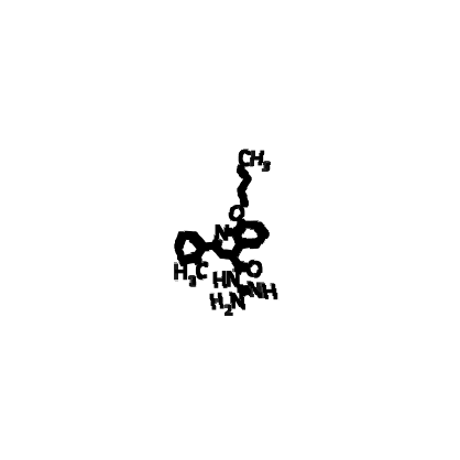 CCCCCOc1cccc2c(C(=O)NC(=N)N)cc(-c3ccccc3C)nc12